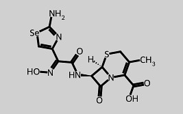 CC1=C(C(=O)O)N2C(=O)[C@@H](NC(=O)C(=NO)c3c[se]c(N)n3)[C@H]2SC1